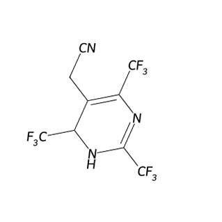 N#CCC1=C(C(F)(F)F)N=C(C(F)(F)F)NC1C(F)(F)F